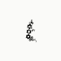 CC(C)[C@@H]1CN(c2cccc(S(C)(=O)=O)c2)CCN1c1ncc(OC(F)F)cn1